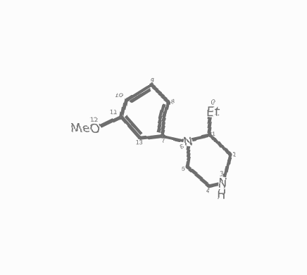 CCC1CNCCN1c1cccc(OC)c1